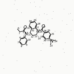 CCC(=O)N(c1ccccc1)[C@H]1C[C@@H](C)N(C(=O)c2ccc(N(C)C)cc2)c2ccccc21